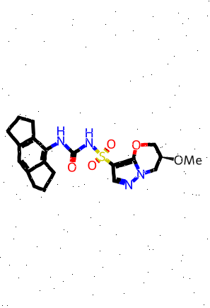 CO[C@@H]1COc2c(S(=O)(=O)NC(=O)Nc3c4c(cc5c3CCC5)CCC4)cnn2C1